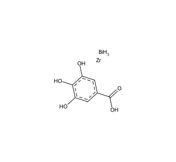 O=C(O)c1cc(O)c(O)c(O)c1.[BiH3].[Zr]